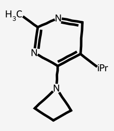 Cc1ncc(C(C)C)c(N2CCC2)n1